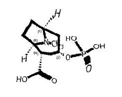 CN1[C@H]2CC[C@@H]1[C@@H](C(=O)O)[C@@H](OP(=O)(O)O)C2